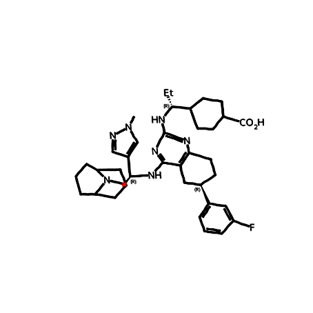 CC[C@@H](Nc1nc2c(c(N[C@@H](CN3C4CCCC3CCC4)c3cnn(C)c3)n1)C[C@H](c1cccc(F)c1)CC2)C1CCC(C(=O)O)CC1